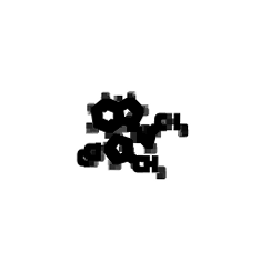 CC1=[C]([Ti+2]2([CH]3C=Cc4ccccc43)[CH2][CH]2C)CC=C1.[Cl-].[Cl-]